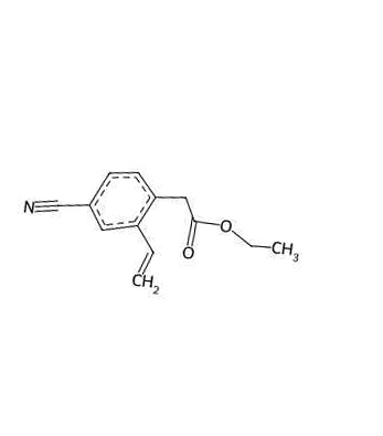 C=Cc1cc(C#N)ccc1CC(=O)OCC